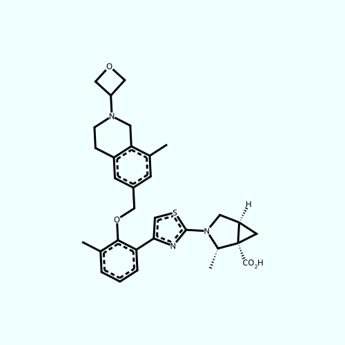 Cc1cc(COc2c(C)cccc2-c2csc(N3C[C@H]4C[C@@]4(C(=O)O)[C@@H]3C)n2)cc2c1CN(C1COC1)CC2